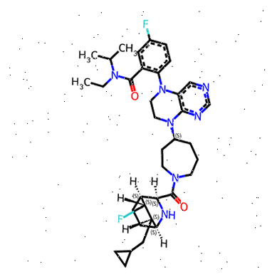 CCN(C(=O)c1cc(F)ccc1N1CCN([C@H]2CCCN(C(=O)[C@H]3N[C@H]4CC[C@@H]3[C@@H](F)[C@H]4CC3CC3)CC2)c2ncncc21)C(C)C